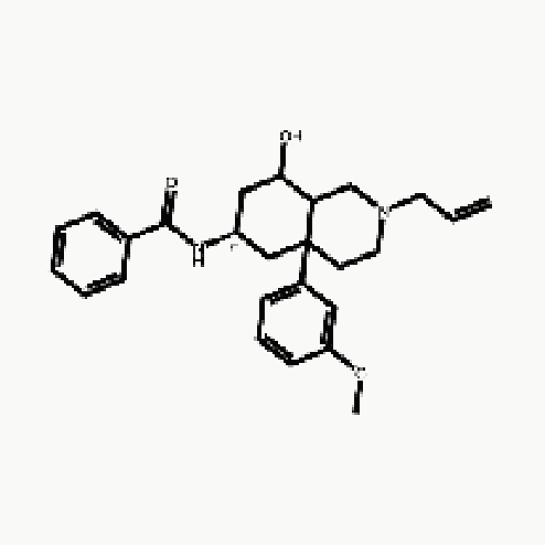 C=CCN1CCC2(c3cccc(OC)c3)C[C@@H](NC(=O)c3ccccc3)CC(O)C2C1